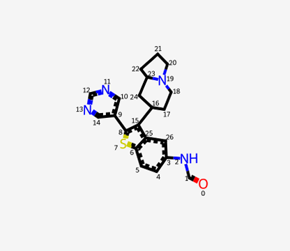 O=CNc1ccc2sc(-c3cncnc3)c(C3CCN4CCCC4C3)c2c1